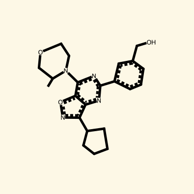 CC1COCCN1c1nc(-c2cccc(CO)c2)nc2c(C3CCCC3)noc12